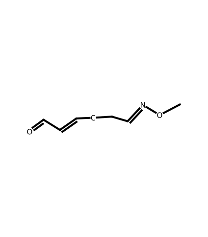 CON=CCCC=CC=O